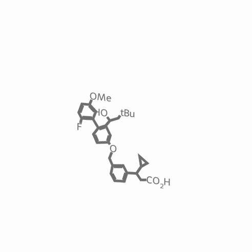 COc1ccc(F)c(-c2ccc(OCc3cccc(C(CC(=O)O)C4CC4)c3)cc2C(O)CC(C)(C)C)c1